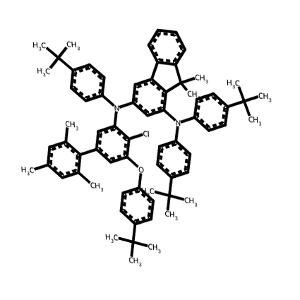 Cc1cc(C)c(-c2cc(Oc3ccc(C(C)(C)C)cc3)c(Cl)c(N(c3ccc(C(C)(C)C)cc3)c3cc4c(c(N(c5ccc(C(C)(C)C)cc5)c5ccc(C(C)(C)C)cc5)c3)C(C)(C)c3ccccc3-4)c2)c(C)c1